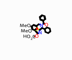 COc1ccc(CN(C(=O)c2ccccc2)C(c2nc(OC(=O)O)cs2)C2CCCCC2)cc1OC